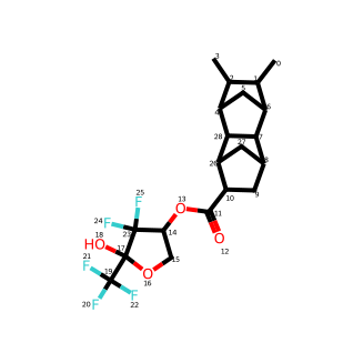 CC1C(C)C2CC1C1C3CC(C(=O)OC4COC(O)(C(F)(F)F)C4(F)F)C(C3)C21